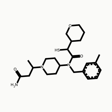 Cc1cccc(CN(C(=O)C(S)C2CCCOC2)C2CCN(C(C)CC(N)=O)CC2)c1